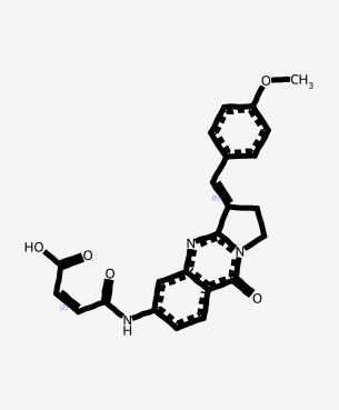 COc1ccc(/C=C2\CCn3c2nc2cc(NC(=O)/C=C\C(=O)O)ccc2c3=O)cc1